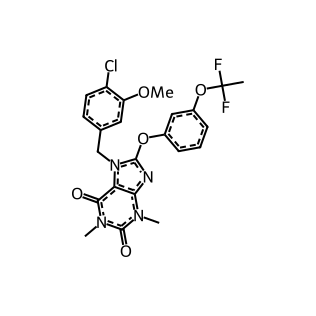 COc1cc(Cn2c(Oc3cccc(OC(C)(F)F)c3)nc3c2c(=O)n(C)c(=O)n3C)ccc1Cl